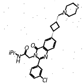 CC(C)NC(=O)Cn1c(-c2cccc(Cl)c2)nc2ccc([C@H]3C[C@@H](CN4CCSCC4)C3)cc2c1=O